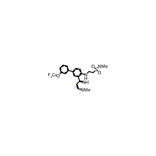 CN/C=C\C(=N)c1cc(-c2cccc(OC(F)(F)F)c2)ccc1NCCS(=O)(=O)NC